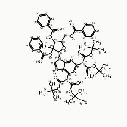 CC(C)(C)OC(=O)N(C(=O)OC(C)(C)C)c1nc(N(C(=O)OC(C)(C)C)C(=O)OC(C)(C)C)c2ncn([C@@H]3O[C@H](COC(=O)c4ccccc4)C(OC(=O)c4ccccc4)C3(C)OC(=O)c3ccccc3)c2n1